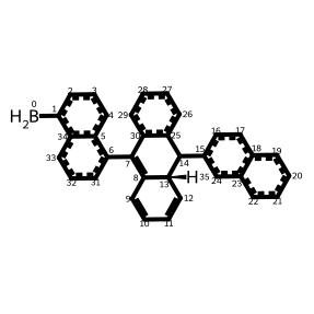 Bc1cccc2c(C3=C4C=CC=C[C@H]4C(c4ccc5ccccc5c4)c4ccccc43)cccc12